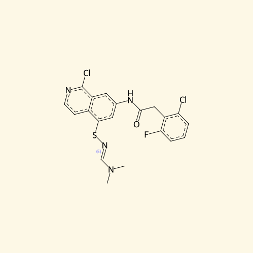 CN(C)/C=N/Sc1cc(NC(=O)Cc2c(F)cccc2Cl)cc2c(Cl)nccc12